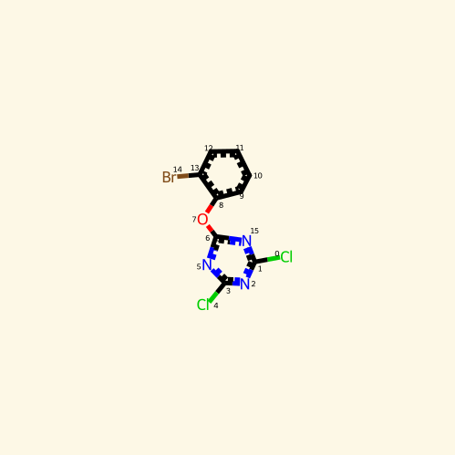 Clc1nc(Cl)nc(Oc2ccccc2Br)n1